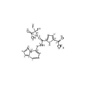 O=C(NCc1cccc2ccnn12)c1ccc(C(=O)C(F)(F)F)s1.O=C(O)C(F)(F)F